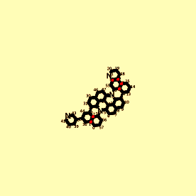 c1ccc(-n2c3ccc4ccc(-c5cccc(-c6cccnc6)c5)c5c4c3-c3c4c(ccc(-c6cccc(-c7cccnc7)c6)c42)ccc3n5-c2ccccc2)cc1